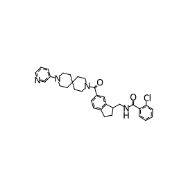 O=C(NCC1CCc2ccc(C(=O)N3CCC4(CC3)CCN(c3cccnc3)CC4)cc21)c1ccccc1Cl